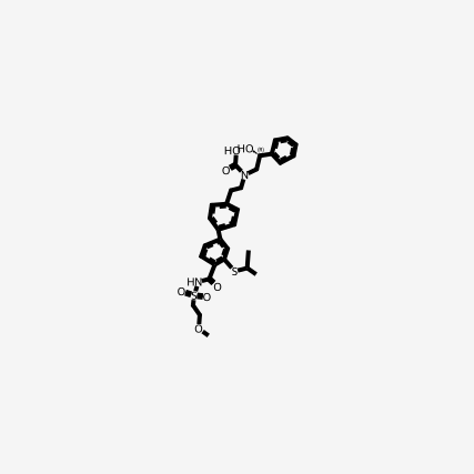 COCCS(=O)(=O)NC(=O)c1ccc(-c2ccc(CCN(C[C@H](O)c3ccccc3)C(=O)O)cc2)cc1SC(C)C